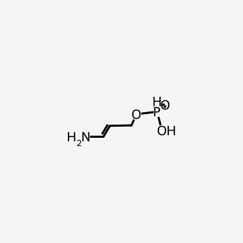 NC=CCO[PH](=O)O